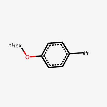 CCCCCCOc1ccc(C(C)C)cc1